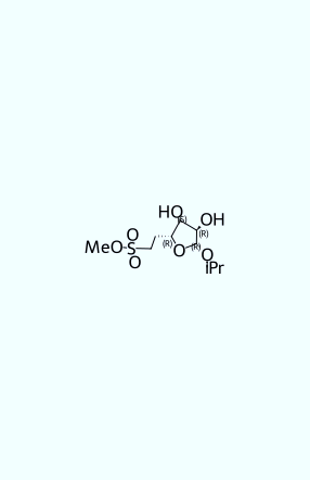 COS(=O)(=O)CC[C@H]1O[C@@H](OC(C)C)[C@H](O)[C@@H]1O